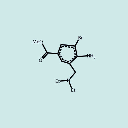 CCN(CC)Cc1cc(C(=O)OC)cc(Br)c1N